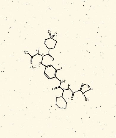 CCC(=O)N[C@@H](C(=O)N1CCS(=O)(=O)CC1)[C@@H](C)c1ccc(NC(=O)[C@@H](NC(=O)c2ccnn2CC)C2CCCCC2)c(F)c1